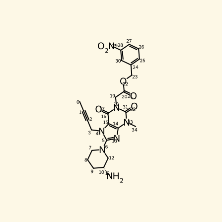 CC#CCn1c(N2CCC[C@@H](N)C2)nc2c1c(=O)n(CC(=O)OCc1cccc([N+](=O)[O-])c1)c(=O)n2C